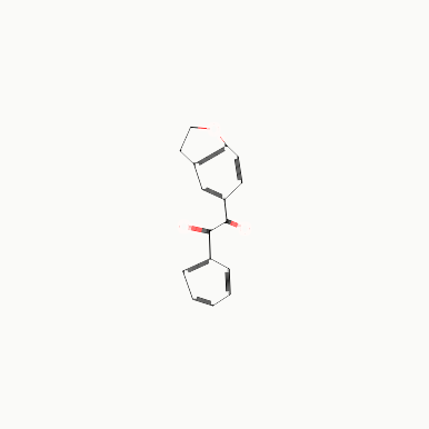 O=C(C(=O)c1ccc2c(c1)CCO2)c1ccccc1